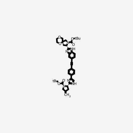 C=C1C[C@@H](c2nc(-c3ccc(C#Cc4ccc5[nH]c([C@@H]6C[C@@]7(COCCO7)CN6C(=O)OC(C)(C)C)nc5c4)cc3)c[nH]2)N(C(=O)OC(C)(C)C)C1